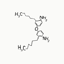 CCCCCCc1cc(Oc2ccc(N)c(CCCCCC)c2)ccc1N